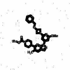 COc1cc(-n2ncc3cc(C)c(C4CCN(C(=O)OC(C)(C)C)CC4)nc32)cc(N2CC(OCc3ccccc3)C2)n1